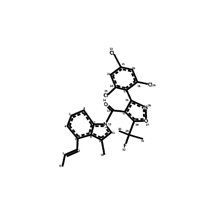 C/C=C/c1cccc2c1c(C)cn2C(=O)c1c(-c2c(Cl)cc(Cl)cc2Cl)noc1C(C)(C)F